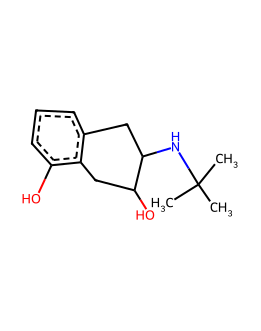 CC(C)(C)NC1Cc2cccc(O)c2CC1O